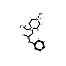 CC(Cc1ccccc1)C[N+]1(CCl)CCN(F)CC1